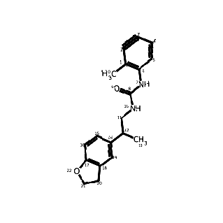 Cc1c#cccc1NC(=O)NCC(C)c1ccc2c(c1)CCO2